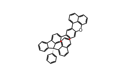 c1ccc([C@]2(c3cccc4ccccc34)c3ccccc3-c3ccc(-c4ccc5c(c4)-c4cccc6cccc(c46)O5)cc32)cc1